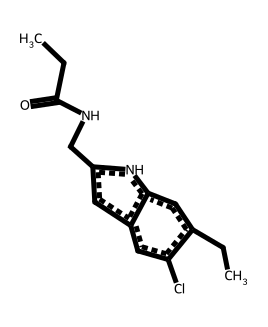 CCC(=O)NCc1cc2cc(Cl)c(CC)cc2[nH]1